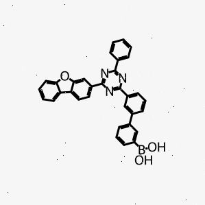 OB(O)c1cccc(-c2cccc(-c3nc(-c4ccccc4)nc(-c4ccc5c(c4)oc4ccccc45)n3)c2)c1